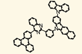 c1cc(-c2nc(-c3ccc4c5ccccc5c5ccccc5c4c3)c3ccccc3n2)cc(-n2c3ccc(-n4c5ccccc5c5ccccc54)cc3c3cc4ccccc4cc32)c1